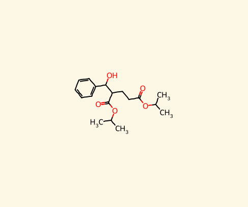 CC(C)OC(=O)CCC(C(=O)OC(C)C)C(O)c1ccccc1